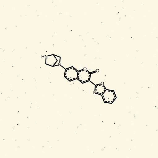 O=c1oc2cc(N3CC4CC3CN4)ccc2cc1-c1nc2ccccc2o1